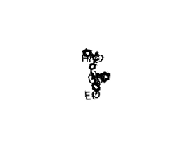 CCOc1ccc(S(=O)(=O)N(Cc2ccc(C(=O)NC3(c4ccccc4)CC3)cc2)Cc2ccccn2)cc1